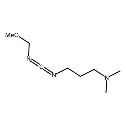 COCN=C=NCCCN(C)C